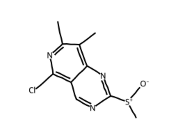 Cc1nc(Cl)c2cnc([S+](C)[O-])nc2c1C